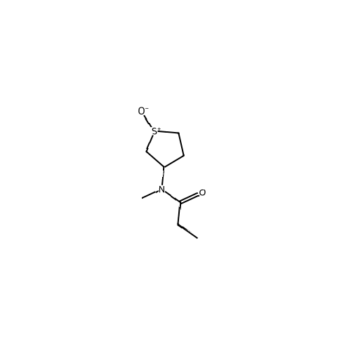 CCC(=O)N(C)C1CC[S+]([O-])C1